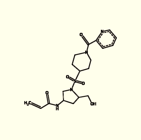 C=CC(=O)NC1CC(CO)N(S(=O)(=O)C2CCN(C(=O)c3ccccn3)CC2)C1